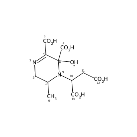 CC1CN=C(C(=O)O)C(O)(C(=O)O)N1C(CC(=O)O)C(=O)O